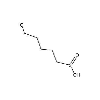 [O]CCCCCS(=O)O